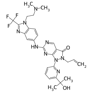 C=CCn1c(=O)c2cnc(Nc3ccc4c(c3)nc(C(F)(F)F)n4CCN(C)C)nc2n1-c1cccc(C(C)(C)O)n1